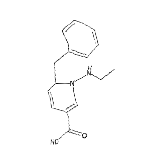 CCNN1C=C(C(=O)O)C=CC1Cc1ccccc1